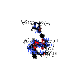 O=C(O)CC[C@H](NC(=O)N[C@@H](CCCCNC(=O)[C@H](Cc1ccc2ccccc2c1)NC(=O)[C@H](Cc1c[nH]cn1)NC(=O)[C@H](CCC(=O)O)NC(=O)[C@H](CCc1c[nH]cn1)NC(=O)[C@H](CCC(=O)O)NC(=O)[C@H](Cc1c[nH]cn1)NC(=O)[C@H](CCC(=O)O)NC(=O)[C@H]1CC[C@H](CNC(=O)CN2CCN(CC(=O)O)CCN(CC(=O)O)CCN(CC(=O)O)CC2)CC1)C(=O)O)C(=O)O